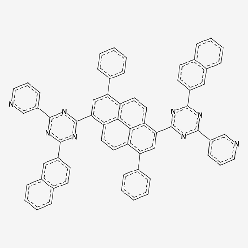 c1ccc(-c2cc(-c3nc(-c4cccnc4)nc(-c4ccc5ccccc5c4)n3)c3ccc4c(-c5ccccc5)cc(-c5nc(-c6cccnc6)nc(-c6ccc7ccccc7c6)n5)c5ccc2c3c45)cc1